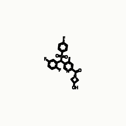 Cc1cc(C(=O)N2CC(O)C2)ncc1C(c1cc(F)ccc1F)S(=O)(=O)c1ccc(F)cc1